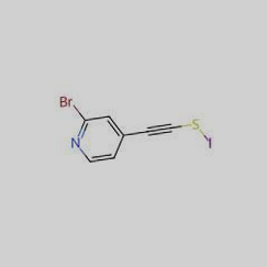 Brc1cc(C#CSI)ccn1